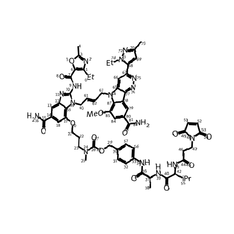 CCc1nc(C)oc1C(=O)Nc1nc2cc(C(N)=O)cc(OCCCN(C)C(=O)OCc3ccc(NC(=O)[C@H](C)NC(=O)[C@@H](NC(=O)CCN4C(=O)C=CC4=O)C(C)C)cc3)c2n1C/C=C/Cn1c2cc(-c3cc(C)nn3CC)nnc2c2cc(C(N)=O)cc(OC)c21